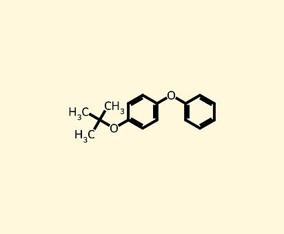 CC(C)(C)Oc1ccc(Oc2ccccc2)cc1